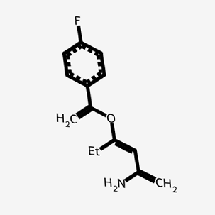 C=C(N)/C=C(\CC)OC(=C)c1ccc(F)cc1